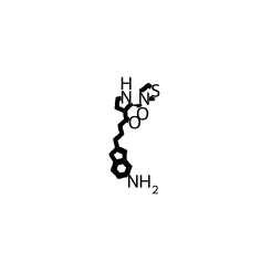 Nc1ccc2c(c1)C=C(CCCC(=O)C1CCN[C@H]1C(=O)N1CCSC1)C2